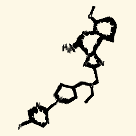 CCN(Cc1nc2c3cccc(OC)c3nc(N)n2n1)CC1CCN(c2ncc(F)cn2)CC1